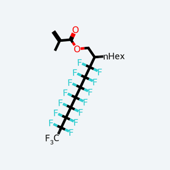 C=C(C)C(=O)OCC(CCCCCC)C(F)(F)C(F)(F)C(F)(F)C(F)(F)C(F)(F)C(F)(F)C(F)(F)C(F)(F)F